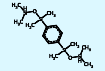 C[SiH](C)O[Si](C)(C)c1ccc([Si](C)(C)O[SiH](C)C)cc1